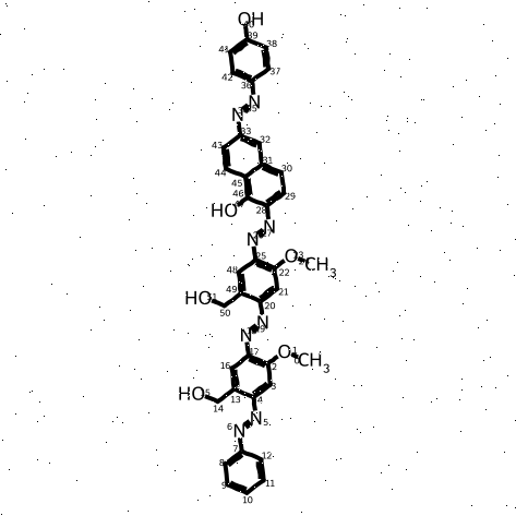 COc1cc(N=Nc2ccccc2)c(CO)cc1N=Nc1cc(OC)c(N=Nc2ccc3cc(N=Nc4ccc(O)cc4)ccc3c2O)cc1CO